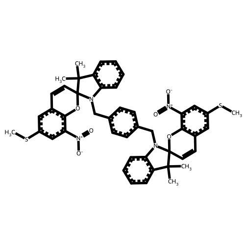 CSc1cc2c(c([N+](=O)[O-])c1)OC1(C=C2)N(Cc2ccc(CN3c4ccccc4C(C)(C)C34C=Cc3cc(SC)cc([N+](=O)[O-])c3O4)cc2)c2ccccc2C1(C)C